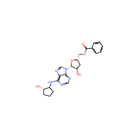 O=C(OC[C@@H]1C[C@@H](O)[C@H](n2cnc3c(N[C@H]4CCC[C@@H]4O)ncnc32)O1)c1ccccc1